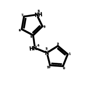 c1ccn(Nc2cc[nH]c2)c1